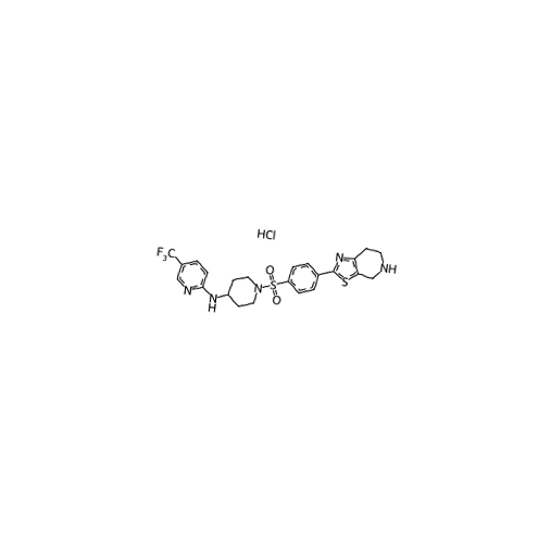 Cl.O=S(=O)(c1ccc(-c2nc3c(s2)CNCC3)cc1)N1CCC(Nc2ccc(C(F)(F)F)cn2)CC1